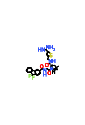 C[C@@]12C[C@@H]1N(C(=O)CNC(=O)c1ccc3c(c1)-c1ccccc1C3(F)F)[C@H](C(=O)NCc1cc(C(=N)N)cs1)C2